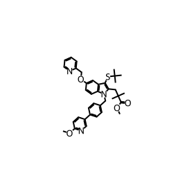 COC(=O)C(C)(C)Cc1c(SC(C)(C)C)c2cc(OCc3ccccn3)ccc2n1Cc1ccc(-c2ccc(OC)nc2)cc1